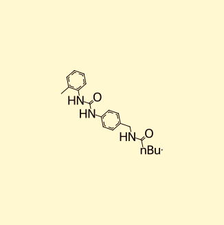 CCC[CH]C(=O)NCc1ccc(NC(=O)Nc2ccccc2C)cc1